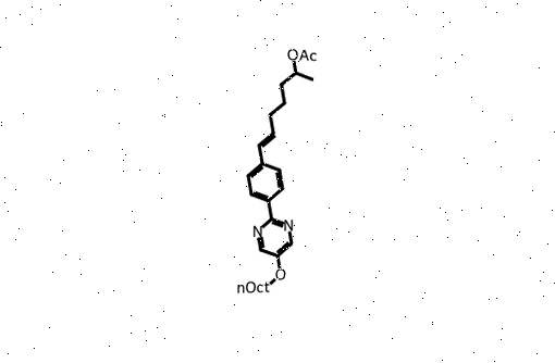 CCCCCCCCOc1cnc(-c2ccc(C=CCCCC(C)OC(C)=O)cc2)nc1